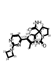 Cc1nc(C2(C(N)=O)CCCN2C(N)=O)sc1-c1ccnc(N2CCC2)n1